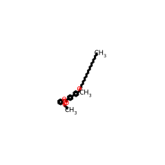 CCCCCCCCCCCCCCCCCCCCOC(C)c1ccc(-c2ccc(C(=O)Oc3ccccc3OCCC)cc2)cc1